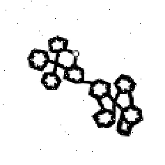 c1ccc(C2(c3ccccc3)c3ccccc3Oc3cc(-c4ccc5c(c4)-c4ccccc4C54c5ccccc5-c5ccc6ccccc6c54)ccc32)cc1